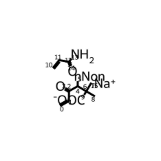 C=CC(=O)C(CCCCCCCCC)C(C)(C)C(=O)[O-].C=CC(N)=O.[Na+]